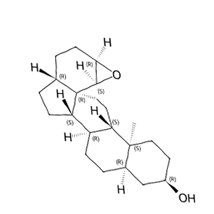 C[C@]12CC[C@@H](O)C[C@H]1CC[C@@H]1[C@@H]2CC[C@]23[C@@H](CC[C@H]4O[C@H]42)CC[C@@H]13